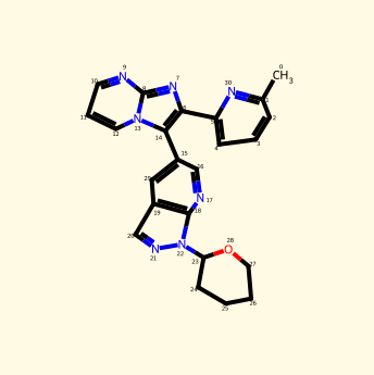 Cc1cccc(-c2nc3ncccn3c2-c2cnc3c(cnn3C3CCCCO3)c2)n1